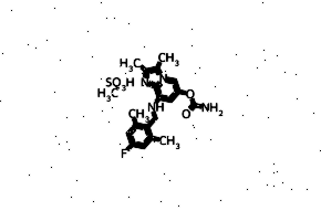 CS(=O)(=O)O.Cc1cc(F)cc(C)c1CNc1cc(OC(N)=O)cn2c(C)c(C)nc12